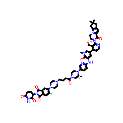 C[C@H]1CN(C(=O)CCCN2CCN(c3cc4c(cc3F)C(=O)N(C3CCC(=O)NC3=O)C4=O)CC2)CCN1c1ccc(Nc2cc(-c3ccnc(N4CCn5c(cc6c5CC(C)(C)C6)C4=O)c3CO)cn(C)c2=O)nc1